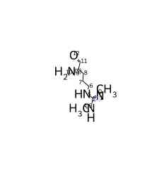 C/N=C(/NC)NCCC[C@H](N)C=O